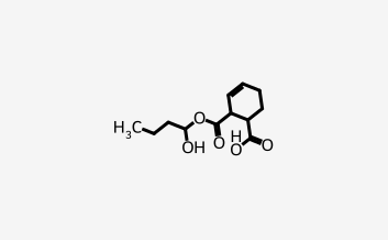 CCCC(O)OC(=O)C1C=CCCC1C(=O)O